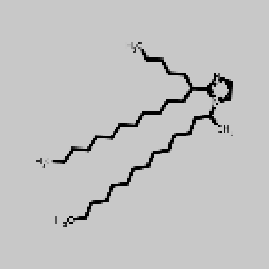 CCCCCCCCCCCCCC(C)n1ccnc1C(CCCCC)CCCCCCCCCCCC